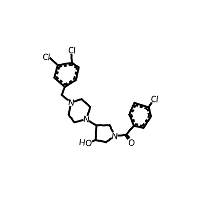 O=C(c1ccc(Cl)cc1)N1CC(O)C(N2CCN(Cc3ccc(Cl)c(Cl)c3)CC2)C1